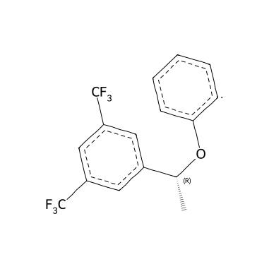 C[C@@H](Oc1[c]cccc1)c1cc(C(F)(F)F)cc(C(F)(F)F)c1